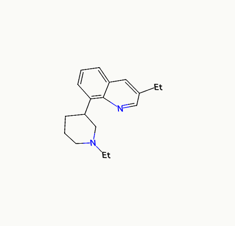 CCc1cnc2c(C3CCCN(CC)C3)cccc2c1